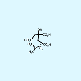 CN(C)C.O=C(O)CC(O)(CC(=O)O)C(=O)O